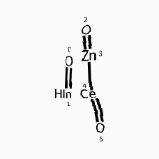 [O]=[InH].[O]=[Zn][Ce]=[O]